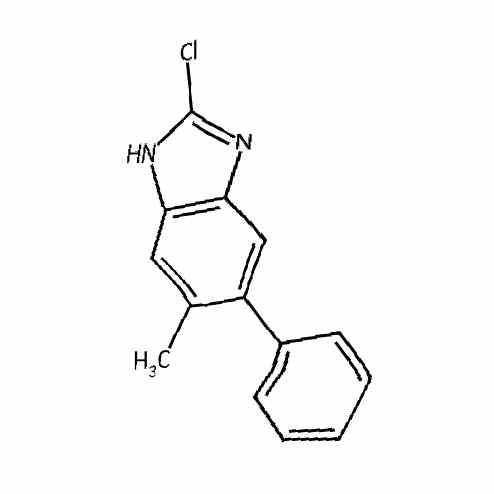 Cc1cc2[nH]c(Cl)nc2cc1-c1ccccc1